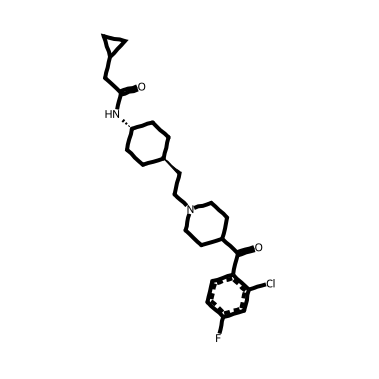 O=C(CC1CC1)N[C@H]1CC[C@H](CCN2CCC(C(=O)c3ccc(F)cc3Cl)CC2)CC1